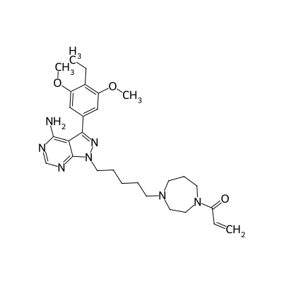 C=CC(=O)N1CCCN(CCCCCn2nc(-c3cc(OC)c(CC)c(OC)c3)c3c(N)ncnc32)CC1